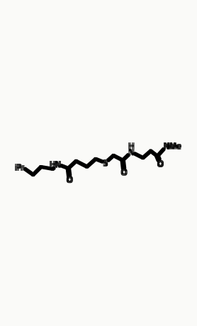 CNC(=O)CCNC(=O)CSCCCC(=O)NCCCC(C)C